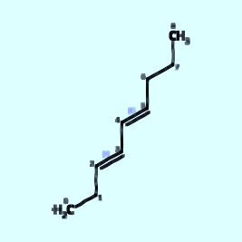 [CH2]C/C=C/C=C/CCC